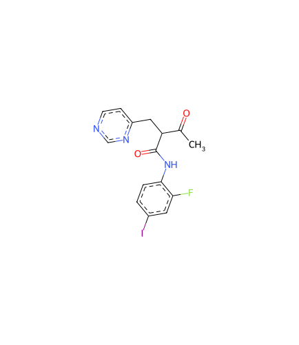 CC(=O)C(Cc1ccncn1)C(=O)Nc1ccc(I)cc1F